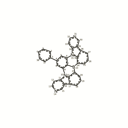 c1ccc(-c2cc3c4c(c2)-n2c5ccncc5c5cccc(c52)B4c2cccc4c5cnccc5n-3c24)cc1